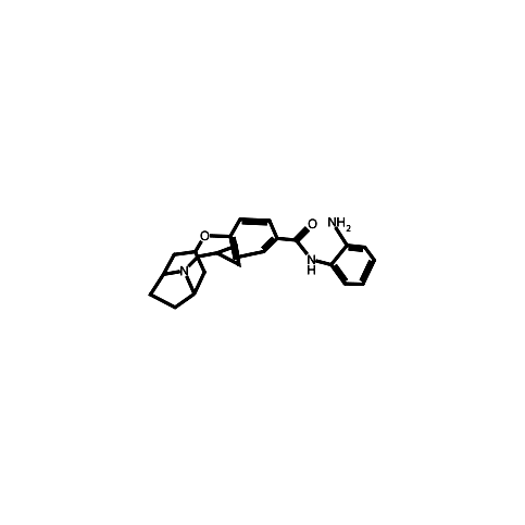 Nc1ccccc1NC(=O)c1ccc(OC2CC3CCC(C2)N3CC2CC2)cc1